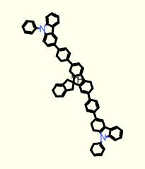 C1=CCCC(n2c3c(c4ccccc42)C=C(c2ccc(C4=CC5=C(CC4)C4=CC=C(C6=CC=C(c7ccc8c(c7)c7ccccc7n8-c7ccccc7)CC6)C[C@@H]4C54CC5=CCCC=C5C4)cc2)CC3)=C1